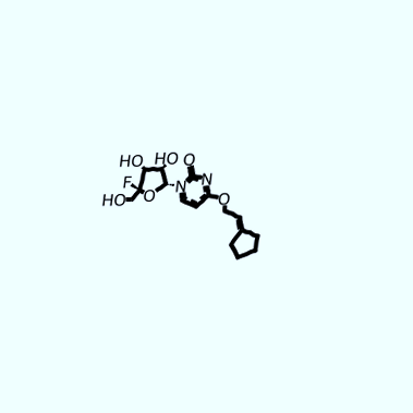 O=c1nc(OCC=C2CCCC2)ccn1[C@@H]1O[C@](F)(CO)[C@@H](O)[C@H]1O